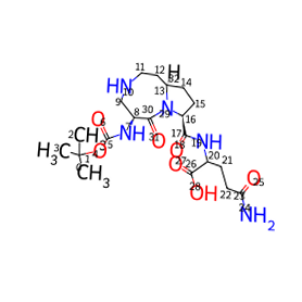 CC(C)(C)OC(=O)N[C@H]1CNCC[C@H]2CC[C@@H](C(=O)NC(CCC(N)=O)C(=O)O)N2C1=O